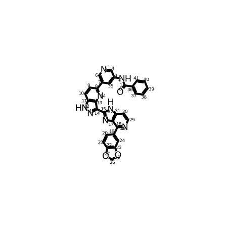 O=C(Nc1cncc(-c2ccc3[nH]nc(-c4nc5c(-c6ccc7c(c6)OCO7)nccc5[nH]4)c3n2)c1)c1ccccc1